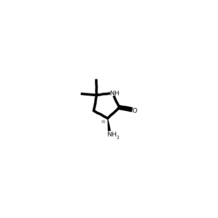 CC1(C)C[C@H](N)C(=O)N1